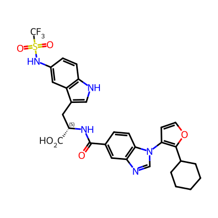 O=C(N[C@@H](Cc1c[nH]c2ccc(NS(=O)(=O)C(F)(F)F)cc12)C(=O)O)c1ccc2c(c1)ncn2-c1ccoc1C1CCCCC1